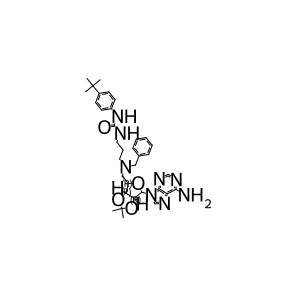 CC1(C)O[C@@H]2[C@@H](CN(CCCNC(=O)Nc3ccc(C(C)(C)C)cc3)Cc3ccccc3)OC(n3cnc4c(N)ncnc43)[C@@H]2O1